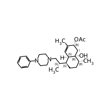 CC(=O)O[C@@H]1[C][C@@]2(O)[C@H](C)CC[C@@H]([C@H](C)CN3CCN(c4ccccc4)CC3)[C@H]2C=C1C